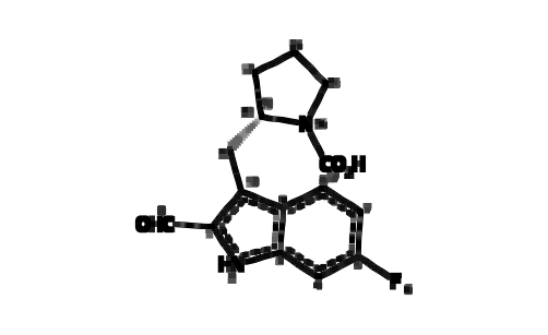 O=Cc1[nH]c2cc(F)ccc2c1C[C@@H]1CCCN1C(=O)O